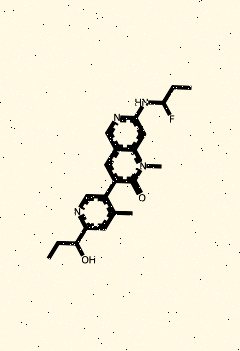 CCC(F)Nc1cc2c(cn1)cc(-c1cnc(C(O)CC)cc1C)c(=O)n2C